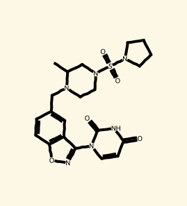 CC1CN(S(=O)(=O)N2CCCC2)CCN1Cc1ccc2onc(-n3ccc(=O)[nH]c3=O)c2c1